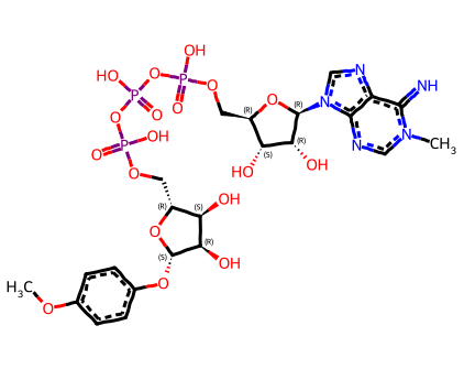 COc1ccc(O[C@@H]2O[C@H](COP(=O)(O)OP(=O)(O)OP(=O)(O)OC[C@H]3O[C@@H](n4cnc5c(=N)n(C)cnc54)[C@H](O)[C@@H]3O)[C@@H](O)[C@H]2O)cc1